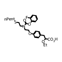 CCCCCSCCN(CCOc1ccc(CC(OCC)C(=O)O)cc1)C(=O)Oc1ccccc1F